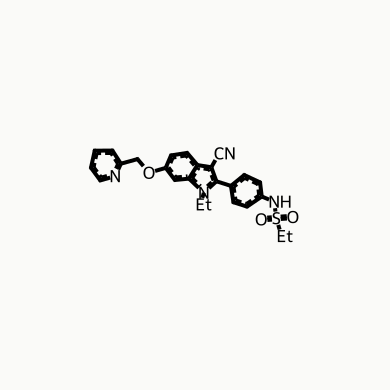 CCn1c(-c2ccc(NS(=O)(=O)CC)cc2)c(C#N)c2ccc(OCc3ccccn3)cc21